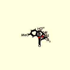 COc1ccc2c(c1)[C@]13CCN[C@H](C2)[C@@H]1C(C)CC(=O)C3.Cl